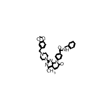 Cc1nc(N2CCN(Cc3ccc4c(c3)OCO4)CC2)nc2c1ccc(=O)n2-c1ccc(C(=O)NCc2ccccc2)cc1